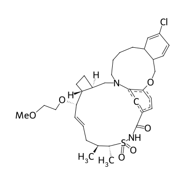 COCCO[C@H]1/C=C/C[C@H](C)[C@@H](C)S(=O)(=O)NC(=O)c2ccc3c(c2)N(CCCCC2C=C(Cl)C=CC2CO3)C[C@@H]2CC[C@H]21